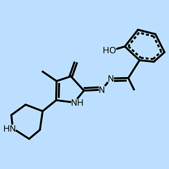 C=C1C(C)=C(C2CCNCC2)N/C1=N/N=C(\C)c1ccccc1O